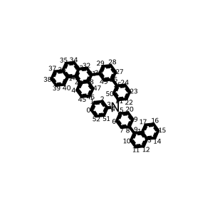 c1ccc(N(c2ccc(-c3cccc4ccccc34)cc2)c2cccc(-c3cccc(-c4cc5ccc6ccccc6c5c5ccccc45)c3)c2)cc1